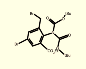 CCOC(=O)c1cc(Br)cc(CBr)c1N(C(=O)OC(C)(C)C)C(=O)OC(C)(C)C